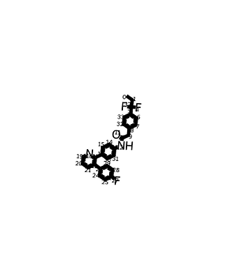 CCC(F)(F)c1ccc(CC(=O)Nc2ccc(-c3ncccc3-c3ccc(F)cc3)cc2)cc1